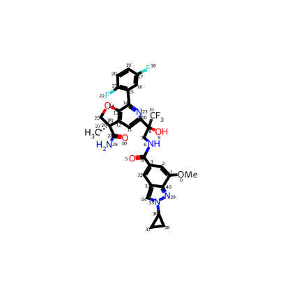 COc1cc(C(=O)NCC(O)(c2cc3c(c(-c4cc(F)ccc4F)n2)OC[C@]3(C)C(N)=O)C(F)(F)F)cc2cn(C3CC3)nc12